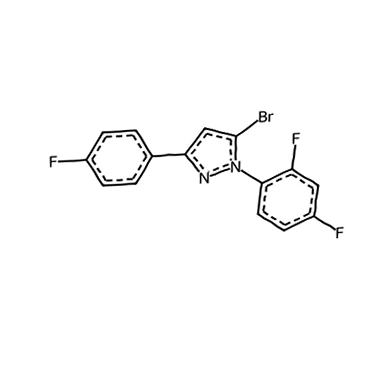 Fc1ccc(-c2cc(Br)n(-c3ccc(F)cc3F)n2)cc1